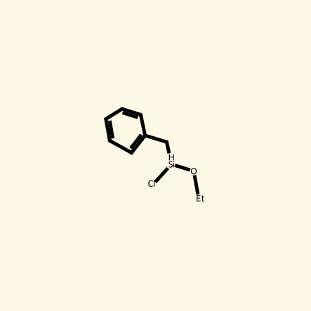 CCO[SiH](Cl)Cc1ccccc1